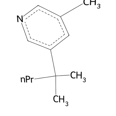 CCCC(C)(C)c1cncc(C)c1